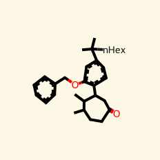 CCCCCCC(C)(C)c1ccc(C2CC(=O)CCC(C)C2C)c(OCc2ccccc2)c1